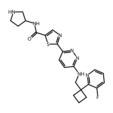 O=C(NC1CCNC1)c1cnc(-c2ccc(NCC3(c4ncccc4F)CCC3)nn2)s1